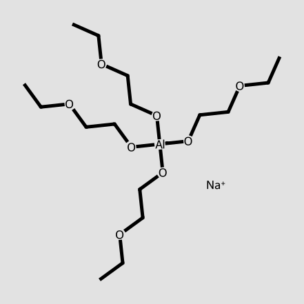 CCOCC[O][Al-]([O]CCOCC)([O]CCOCC)[O]CCOCC.[Na+]